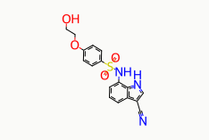 N#Cc1c[nH]c2c(NS(=O)(=O)c3ccc(OCCO)cc3)cccc12